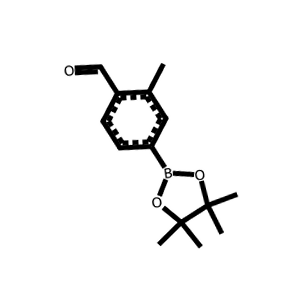 Cc1cc(B2OC(C)(C)C(C)(C)O2)ccc1C=O